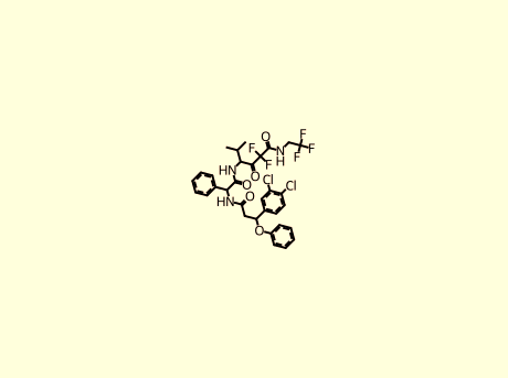 CC(C)C(NC(=O)C(NC(=O)CC(Oc1ccccc1)c1ccc(Cl)c(Cl)c1)c1ccccc1)C(=O)C(F)(F)C(=O)NCC(F)(F)F